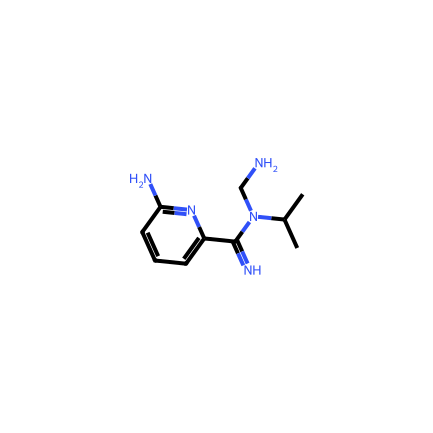 CC(C)N(CN)C(=N)c1cccc(N)n1